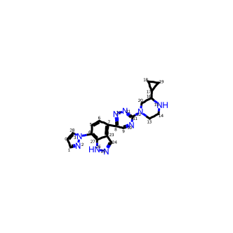 c1cnn(-c2ccc(-c3cnc(N4CCNC(C5CC5)C4)nn3)c3cn[nH]c23)c1